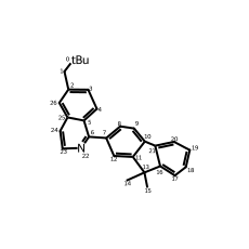 CC(C)(C)Cc1ccc2c(-c3ccc4c(c3)C(C)(C)c3ccccc3-4)nccc2c1